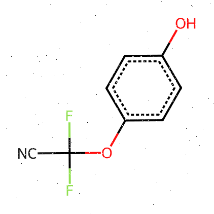 N#CC(F)(F)Oc1ccc(O)cc1